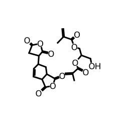 C=C(C)C(=O)OCC(CO)OC(=O)C(=C)C.O=C1CC(C2C=CC3C(=O)OC(=O)C3C2)C(=O)O1